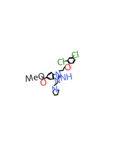 COC(=O)c1ccc2c(c1)n(CCN1CCCC1)c(=N)n2CCCOc1ccc(Cl)cc1Cl